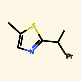 Cc1cnc(C(C)C(C)C)s1